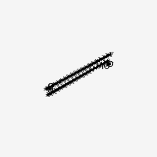 C=C(CCCCCCCCCCCCCCCCCCCCCCCCCCCCCCCCCC)C(=O)O.C=CC(=O)OCCCCCCCCCCCCCCCCCCCCCCCCCCCCCCCCCC